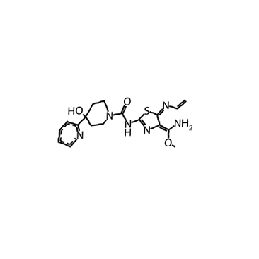 C=C/N=C1/SC(NC(=O)N2CCC(O)(c3ccccn3)CC2)=N/C1=C(/N)OC